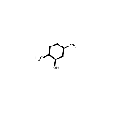 CC1CC[C@@H](C)CC1O